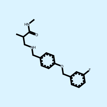 CNC(=O)C(C)CNCc1ccc(OCc2cccc(F)c2)cc1